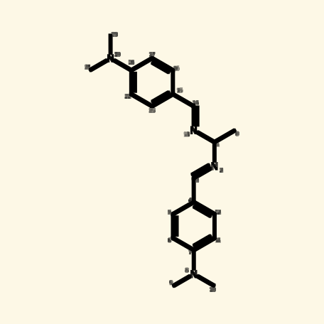 CC(N=Cc1ccc(N(C)C)cc1)N=Cc1ccc(N(C)C)cc1